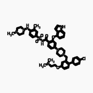 Cc1cc(S(=O)(=O)NC(=O)c2ccc(N3CCN(Cc4cc(OCCN(C)C)ccc4-c4ccc(Cl)cc4)CC3)cc2Oc2cccc3[nH]ccc23)ccc1NN1CCN(C)CC1